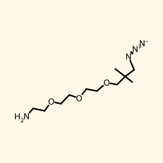 CC(C)(CN=[N+]=[N-])COCCOCCOCCN